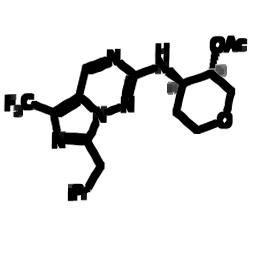 CC(=O)O[C@@H]1COCC[C@H]1Nc1ncc2c(C(F)(F)F)nc(CC(C)C)n2n1